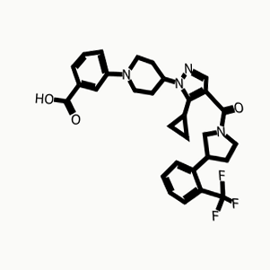 O=C(O)c1cccc(N2CCC(n3ncc(C(=O)N4CCC(c5ccccc5C(F)(F)F)C4)c3C3CC3)CC2)c1